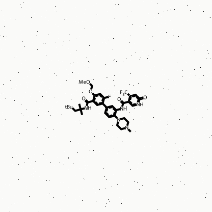 COCOc1cc(F)c(-c2ccc(N3CCN(C)CC3)c(NC(=O)c3c[nH]c(=O)cc3C(F)(F)F)c2)cc1C(=O)NC(C)(C)CC(C)(C)C